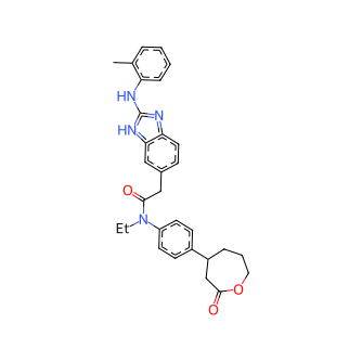 CCN(C(=O)Cc1ccc2nc(Nc3ccccc3C)[nH]c2c1)c1ccc(C2CCCOC(=O)C2)cc1